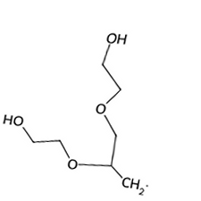 [CH2]C(COCCO)OCCO